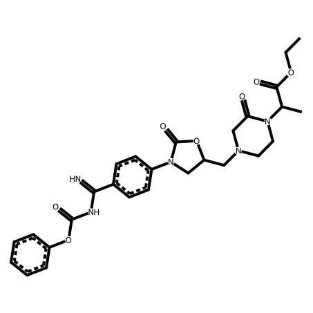 CCOC(=O)C(C)N1CCN(CC2CN(c3ccc(C(=N)NC(=O)Oc4ccccc4)cc3)C(=O)O2)CC1=O